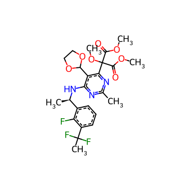 COC(=O)C(OC)(C(=O)OC)c1nc(C)nc(N[C@H](C)c2cccc(C(C)(F)F)c2F)c1C1OCCO1